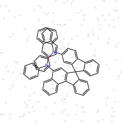 c1ccc(N(c2ccccc2)c2ccc3c(c2)C2(c4ccccc4-3)c3ccccc3-c3c2cc(N(c2ccccc2)c2ccc4ccccc4c2)c2ccccc32)cc1